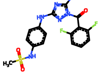 CS(=O)(=O)Nc1ccc(Nc2nc(N)n(C(=O)c3c(F)cccc3F)n2)cc1